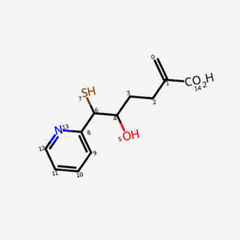 C=C(CCC(O)C(S)c1ccccn1)C(=O)O